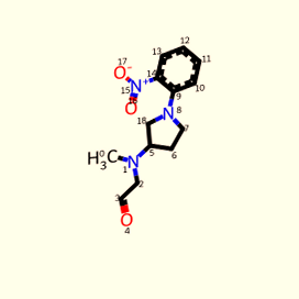 CN(CC=O)C1CCN(c2ccccc2[N+](=O)[O-])C1